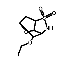 O=S1(=O)NC2C(OCI)C3CC1C2O3